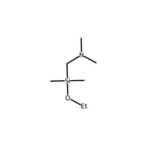 CCO[Si](C)(C)CN(C)C